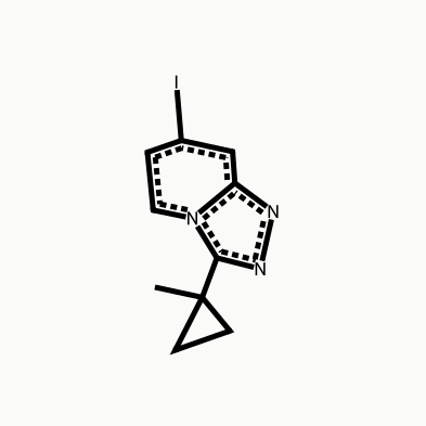 CC1(c2nnc3cc(I)ccn23)CC1